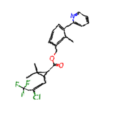 Cc1c(COC(=O)C2C(/C=C(/Cl)C(F)(F)F)C2(C)C)cccc1-c1ccccn1